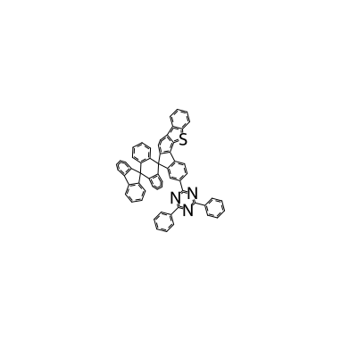 c1ccc(-c2nc(-c3ccccc3)nc(-c3ccc4c(c3)C3(c5ccccc5C5(c6ccccc6-c6ccccc65)c5ccccc53)c3ccc5c(sc6ccccc65)c3-4)n2)cc1